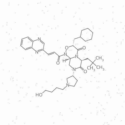 CC(C)(C)C[C@H]1C(=O)N([C@@H]2CCN(CCCCO)C2)C[C@@H]2N(C(=O)/C=C/c3cnc4ccccc4n3)O[C@H](CC3CCCCC3)C(=O)N21